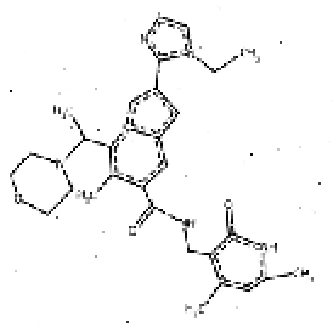 CCn1ccnc1-c1cc2cc(C(=O)NCc3c(C)cc(C)[nH]c3=O)c(C)c(C(C)N3CCOCC3)n2c1